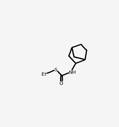 CCSC(=O)NC1CC2CCC1C2